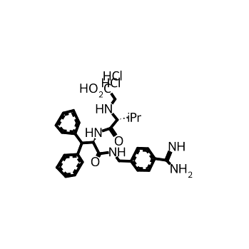 CC(C)[C@@H](NCC(=O)O)C(=O)N[C@H](C(=O)NCc1ccc(C(=N)N)cc1)C(c1ccccc1)c1ccccc1.Cl.Cl